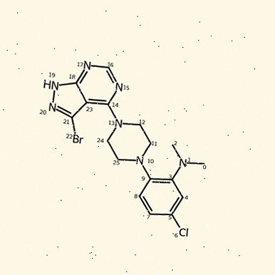 CN(C)c1cc(Cl)ccc1N1CCN(c2ncnc3[nH]nc(Br)c23)CC1